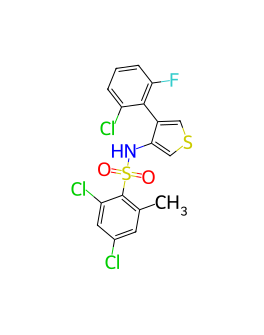 Cc1cc(Cl)cc(Cl)c1S(=O)(=O)Nc1cscc1-c1c(F)cccc1Cl